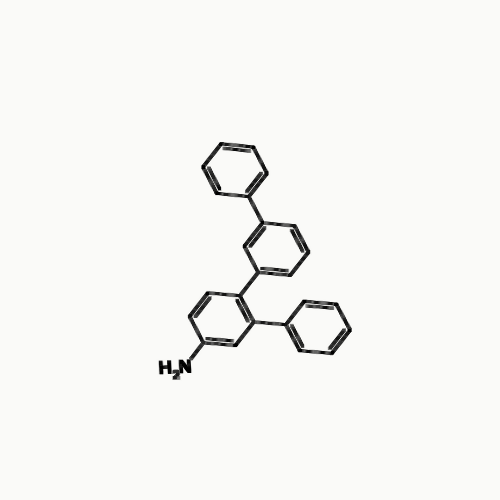 Nc1ccc(-c2cccc(-c3ccccc3)c2)c(-c2ccccc2)c1